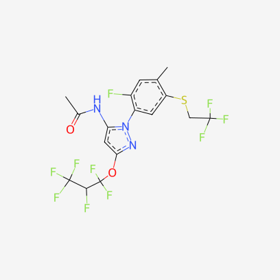 CC(=O)Nc1cc(OC(F)(F)C(F)C(F)(F)F)nn1-c1cc(SCC(F)(F)F)c(C)cc1F